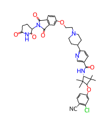 CC1(C)[C@H](NC(=O)c2ccc(C3CCN(CCOc4ccc5c(c4)C(=O)N(C4CCC(=O)NC4=O)C5=O)CC3)nc2)C(C)(C)[C@H]1Oc1ccc(C#N)c(Cl)c1